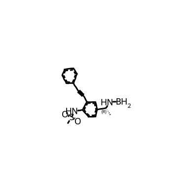 BN[C@H](C)c1ccc(NS(C)(=O)=O)c(C#Cc2ccccc2)c1